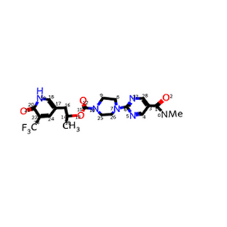 CNC(=O)c1cnc(N2CCN(C(=O)OC(C)Cc3c[nH]c(=O)c(C(F)(F)F)c3)CC2)nc1